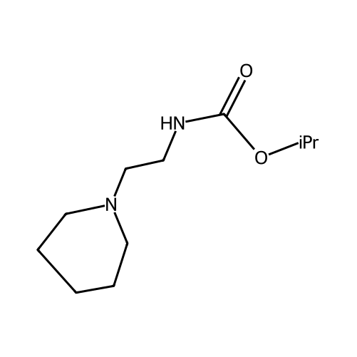 CC(C)OC(=O)NCCN1CCCCC1